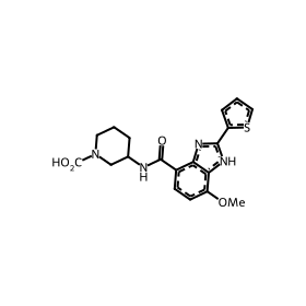 COc1ccc(C(=O)NC2CCCN(C(=O)O)C2)c2nc(-c3cccs3)[nH]c12